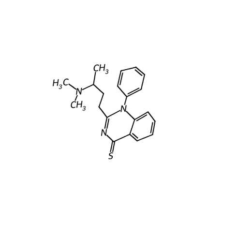 CC(CCc1nc(=S)c2ccccc2n1-c1ccccc1)N(C)C